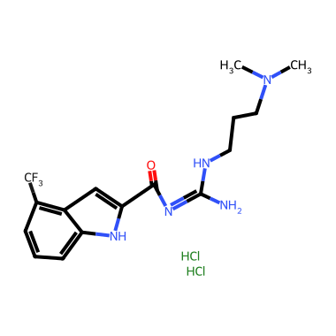 CN(C)CCCNC(N)=NC(=O)c1cc2c(C(F)(F)F)cccc2[nH]1.Cl.Cl